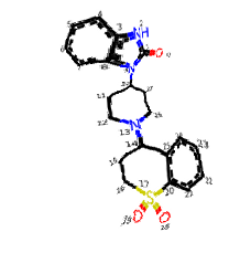 O=c1[nH]c2ccccc2n1C1CCN(C2CCS(=O)(=O)c3ccccc32)CC1